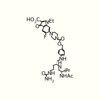 CCn1cc(C(=O)O)c(=O)c2cc(F)c(N3CCN(C(=O)OCc4ccc(NC[C@@H](CCCNC(N)=O)NC[C@H](NC(C)=O)C(C)C)cc4)CC3)cc21